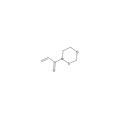 C=CC(=O)N1CCOCS1